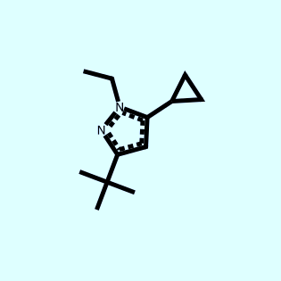 CCn1nc(C(C)(C)C)cc1C1CC1